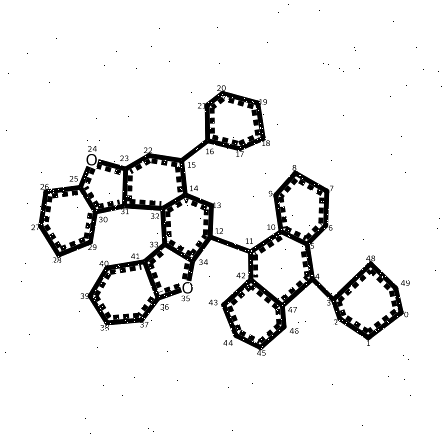 c1ccc(-c2c3ccccc3c(-c3cc4c(-c5ccccc5)cc5oc6ccccc6c5c4c4c3oc3ccccc34)c3ccccc23)cc1